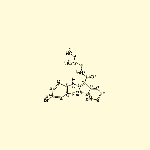 O=C(NCC(O)CO)c1c(Nc2ccc(Br)cc2F)sc2ncccc12